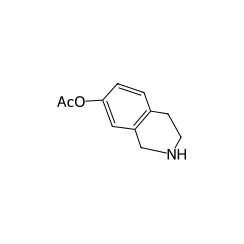 CC(=O)Oc1ccc2c(c1)CNCC2